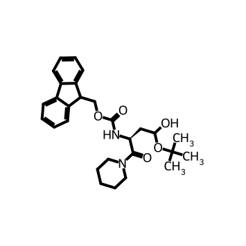 CC(C)(C)OC(O)C[C@H](NC(=O)OCC1c2ccccc2-c2ccccc21)C(=O)N1CCCCC1